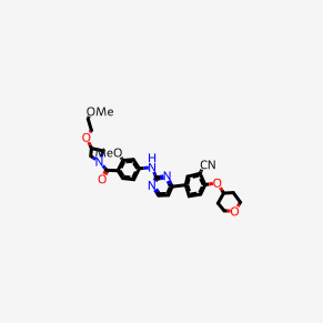 COCCOC1CN(C(=O)c2ccc(Nc3nccc(-c4ccc(OC5CCOCC5)c(C#N)c4)n3)cc2OC)C1